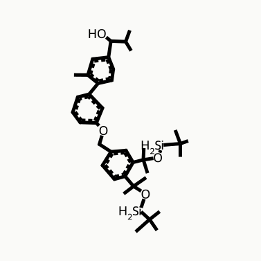 Cc1cc(C(O)C(C)C)ccc1-c1cccc(OCc2ccc(C(C)(C)O[SiH2]C(C)(C)C)c(C(C)(C)O[SiH2]C(C)(C)C)c2)c1